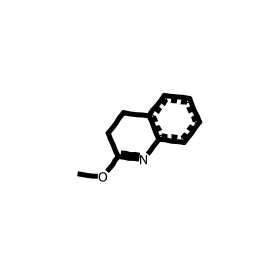 COC1=Nc2ccccc2CC1